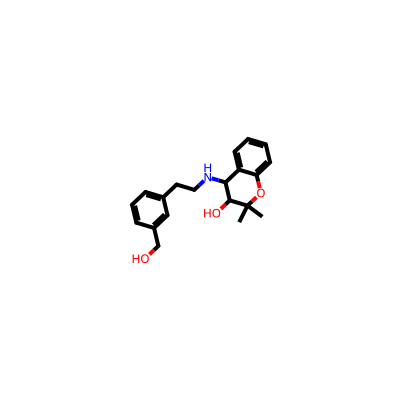 CC1(C)Oc2ccccc2C(NCCc2cccc(CO)c2)C1O